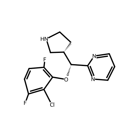 Fc1ccc(F)c(O[C@@H](c2ncccn2)[C@H]2CCNC2)c1Cl